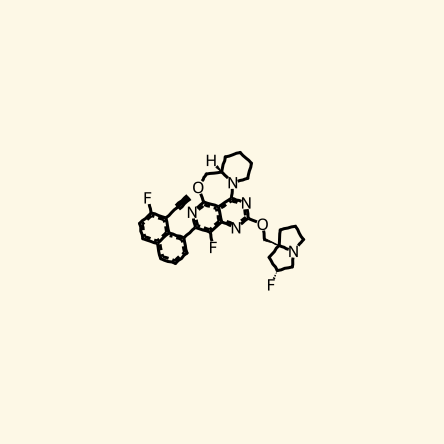 C#Cc1c(F)ccc2cccc(-c3nc4c5c(nc(OC[C@@]67CCCN6C[C@H](F)C7)nc5c3F)N3CCCC[C@H]3CO4)c12